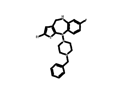 CCc1cc2c(s1)N(N1CCN(Cc3ccccc3)CC1)c1ccc(F)cc1NC2